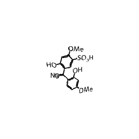 COc1ccc(C(=O)c2cc(S(=O)(=O)O)c(OC)cc2O)c(O)c1.[Na+]